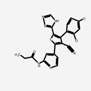 CCC(=O)Nc1cc(-c2sc(-c3nnc[nH]3)c(-c3ccc(Cl)cc3Cl)c2C#N)ccn1